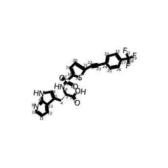 O=C(O)[C@H](Cc1c[nH]c2ncccc12)NS(=O)(=O)c1ccc(C#Cc2ccc(C(F)(F)F)cc2)s1